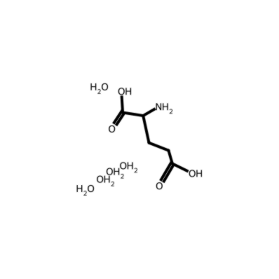 NC(CCC(=O)O)C(=O)O.O.O.O.O.O